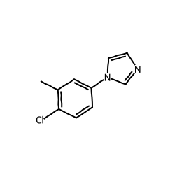 Cc1cc(-n2ccnc2)ccc1Cl